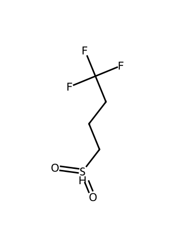 O=[SH](=O)CCCC(F)(F)F